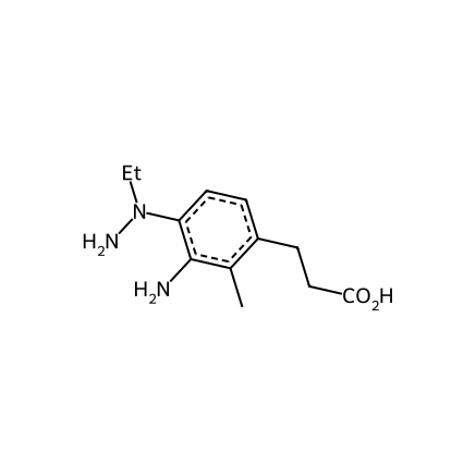 CCN(N)c1ccc(CCC(=O)O)c(C)c1N